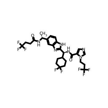 C[C@@H](NC(=O)CCC(F)(F)F)c1ccc2[nH]c([C@@H](NC(=O)c3cncn3CCC(F)(F)F)C3CCC(F)(F)CC3)nc2c1